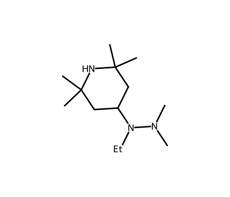 CCN(C1CC(C)(C)NC(C)(C)C1)N(C)C